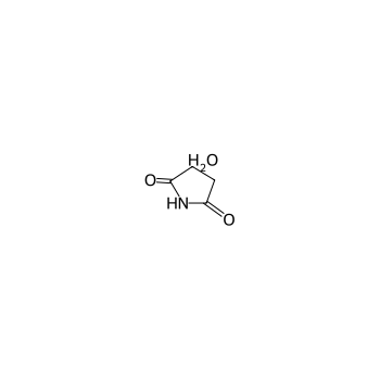 O.O=C1CCC(=O)N1